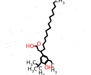 CCCCCCCCCCCCCCCC(CC(=O)O)c1cc(CC)c(O)c(C(C)(C)C)c1